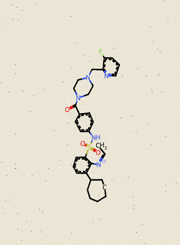 C/C=N\c1c(C2CCCCCC2)cccc1S(=O)(=O)Nc1ccc(C(=O)N2CCN(Cc3ncccc3F)CC2)cc1